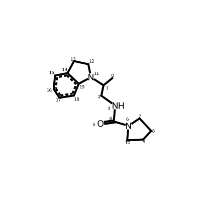 CC(CNC(=O)N1CCCC1)N1CCc2ccccc21